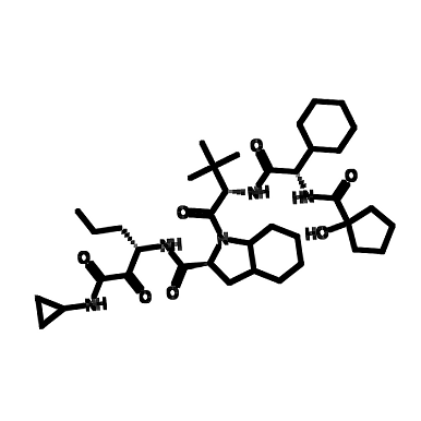 CCC[C@H](NC(=O)[C@@H]1CC2CCCCC2N1C(=O)[C@@H](NC(=O)[C@@H](NC(=O)C1(O)CCCC1)C1CCCCC1)C(C)(C)C)C(=O)C(=O)NC1CC1